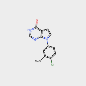 COc1cc(-n2ccc3c(=O)[nH]cnc32)ccc1Cl